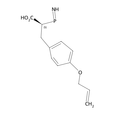 C=CCOc1ccc(C[C@H](P=N)C(=O)O)cc1